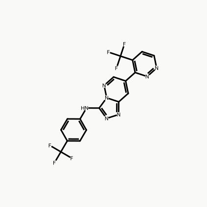 FC(F)(F)c1ccc(Nc2nnc3cc(-c4nnccc4C(F)(F)F)cnn23)cc1